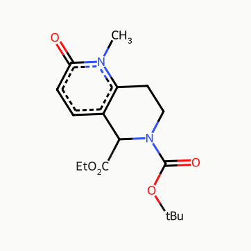 CCOC(=O)C1c2ccc(=O)n(C)c2CCN1C(=O)OC(C)(C)C